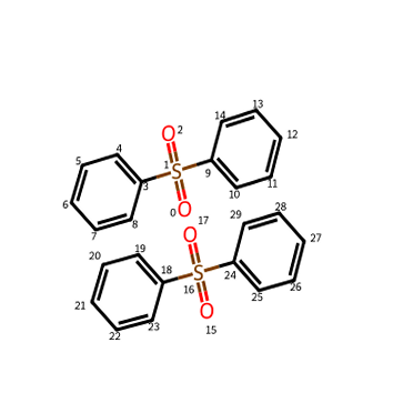 O=S(=O)(c1ccccc1)c1ccccc1.O=S(=O)(c1ccccc1)c1ccccc1